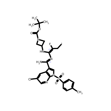 Cc1ccc(S(=O)(=O)n2cc(/C(N)=N/C(NC3CN(C(=O)OC(C)(C)C)C3)=C(/F)CI)c3cc(Cl)cnc32)cc1